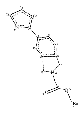 CC(C)(C)OC(=O)N1Cc2ccc(-c3ncco3)cc2C1